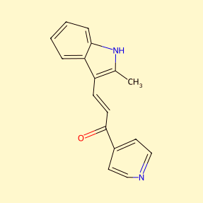 Cc1[nH]c2ccccc2c1C=CC(=O)c1ccncc1